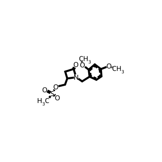 COc1ccc(CN2C(=O)CC2COS(C)(=O)=O)c(OC)c1